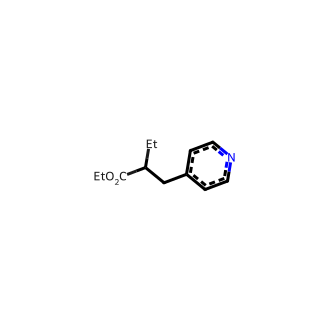 CCOC(=O)C(CC)Cc1ccncc1